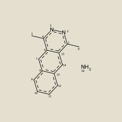 Cc1nnc(C)c2cc3ccccc3cc12.N